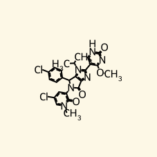 COc1nc(=O)[nH]cc1-c1nc2c(n1C(C)C)C(c1ccc(Cl)cc1)N(c1cc(Cl)cn(C)c1=O)C2=O